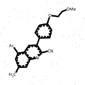 COCCOc1ccc(-c2cc3c(C(C)=O)cc(C)cc3nc2C#N)cc1